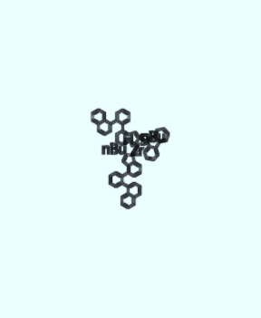 CCCCC1=Cc2c(-c3ccccc3-c3cccc4ccccc34)cccc2[CH]1[Zr]([c]1cccc2c1[SiH2]c1ccccc1-2)[CH]1C(CCCC)=Cc2c(-c3ccccc3-c3cccc4ccccc34)cccc21